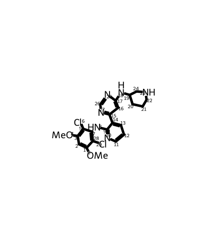 COc1cc(OC)c(Cl)c(Nc2ncccc2-c2cc(NC3CCCNC3)ncn2)c1Cl